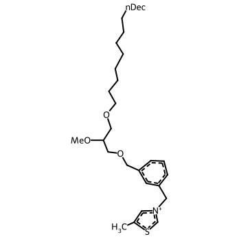 CCCCCCCCCCCCCCCCCCOCC(COCc1cccc(C[n+]2csc(C)c2)c1)OC